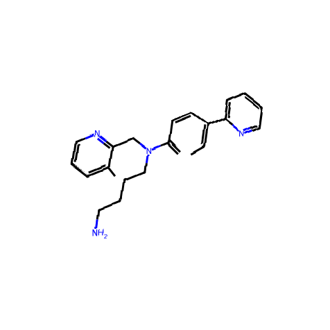 C=C(/C=C\C(=C/C)c1ccccn1)N(CCCCN)Cc1ncccc1C